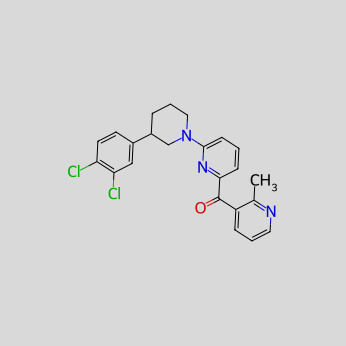 Cc1ncccc1C(=O)c1cccc(N2CCCC(c3ccc(Cl)c(Cl)c3)C2)n1